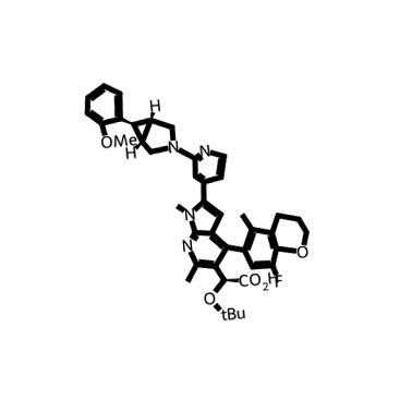 COc1ccccc1[C@H]1[C@@H]2CN(c3cc(-c4cc5c(-c6cc(F)c7c(c6C)CCCO7)c([C@H](OC(C)(C)C)C(=O)O)c(C)nc5n4C)ccn3)C[C@@H]21